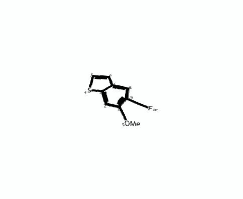 COc1cc2s[c]cc2cc1F